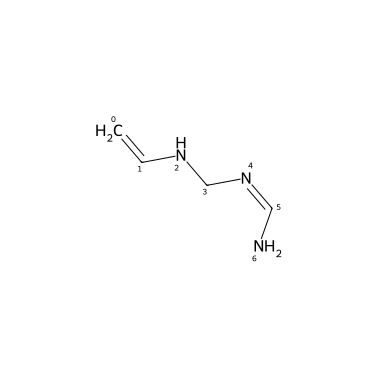 C=CNC/N=C\N